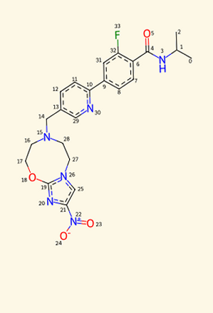 CC(C)NC(=O)c1ccc(-c2ccc(CN3CCOc4nc([N+](=O)[O-])cn4CC3)cn2)cc1F